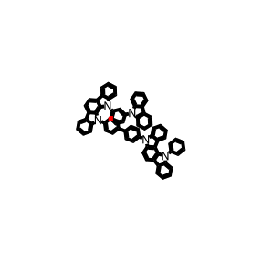 C1=Cc2c(n(-c3cccc(-n4c5ccccc5c5ccc6c7ccccc7n(-c7ccc(-c8ccc(-n9c%10ccccc%10c%10c9ccc9c%11ccccc%11n(-c%11ccccc%11)c9%10)cc8)cc7)c6c54)c3)c3ccccc23)CC1